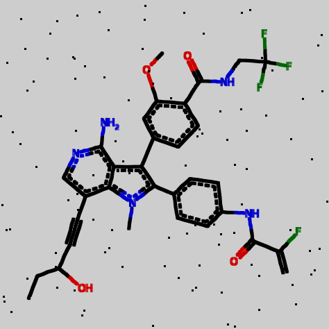 C=C(F)C(=O)Nc1ccc(-c2c(-c3ccc(C(=O)NCC(F)(F)F)c(OC)c3)c3c(N)ncc(C#CC(O)CC)c3n2C)cc1